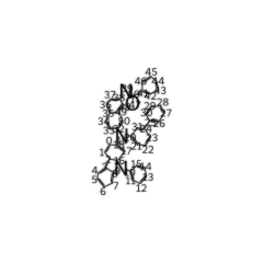 C1=CC2c3ccccc3N(c3ccccc3)C2C=C1N(c1cccc(-c2ccccc2)c1)c1ccc2ccc3nc(-c4ccccc4)oc3c2c1